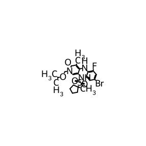 Cc1c(Nc2ccc(Br)cc2F)c(NS(=O)(=O)C2(C)CCCC2)cn(COC(C)C)c1=O